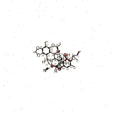 C=CCOC(=O)N[C@H]1CS[C@H]2c3c(OC(C)=O)c(C)c4c(c3[C@H](COC1=O)N1[C@@H]2[C@@H]2c3c(cc(C)c(OC)c3O)C[C@H]([C@@H]1C#N)N2C)OCO4